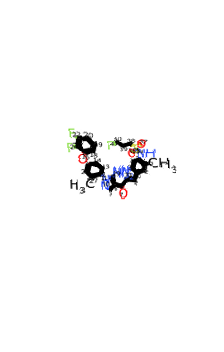 Cc1cc2cc(C(=O)c3cnn(-c4ccc(Oc5cccc(F)c5F)cc4C)c3N)[nH]c2cc1NS(=O)(=O)CCCF